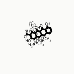 C[C@H]1c2cccc(O)c2C(=O)C2=C(O)[C@]3(O)C(=O)C(C(N)=O)=C(O)[C@@H](N(C)C)[C@H]3[C@@H](O)[C@@H]21.Cl.O